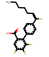 CCCCC/C=C(/F)c1ccc(-c2c(C(=O)O)cc(F)c(F)c2F)cc1